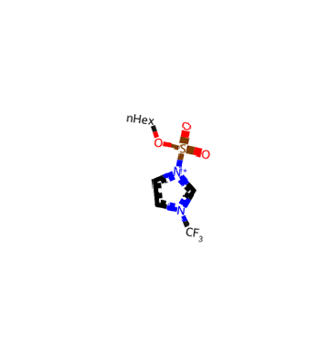 CCCCCCOS(=O)(=O)[n+]1ccn(C(F)(F)F)c1